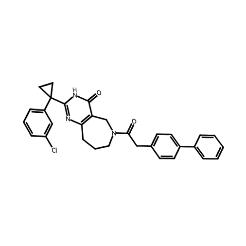 O=C(Cc1ccc(-c2ccccc2)cc1)N1CCCc2nc(C3(c4cccc(Cl)c4)CC3)[nH]c(=O)c2C1